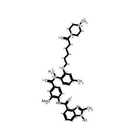 CCn1c(C)nc2c(C(=O)Nc3ccc(C(=O)N(C)c4ccc(C)cc4OCCCCCC(=O)N4CCN(C)CC4)cc3OC)cccc21